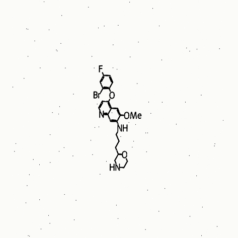 COc1cc2c(Oc3ccc(F)cc3Br)ccnc2cc1NCCCC1CNCCO1